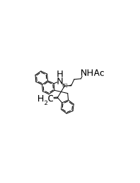 C=C1c2ccccc2CC12c1ccc3ccccc3c1N[C@H]2CCCNC(C)=O